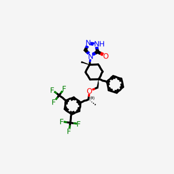 C[C@@H](OC[C@]1(c2ccccc2)CC[C@@](C)(n2cn[nH]c2=O)CC1)c1cc(C(F)(F)F)cc(C(F)(F)F)c1